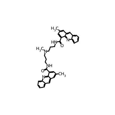 Cc1cc(C(=O)NCCCN(C)CCCNC(=O)c2cc(C)cc3cc4ccccc4nc23)c2nc3ccccc3cc2c1